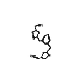 OCC1CSC(Cc2cccc(CC3SCC(CO)S3)c2)S1